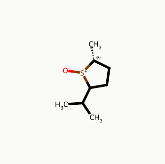 CC(C)C1CC[C@@H](C)[S+]1[O-]